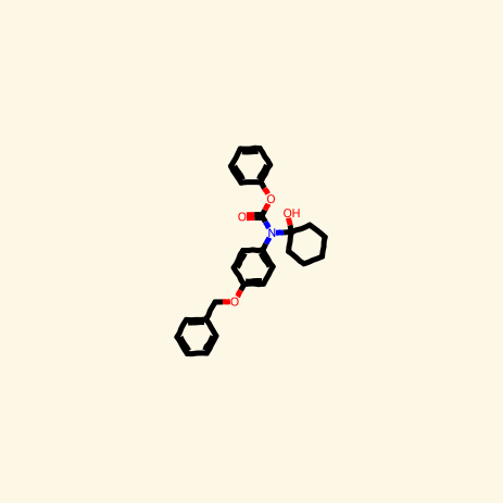 O=C(Oc1ccccc1)N(c1ccc(OCc2ccccc2)cc1)C1(O)CCCCC1